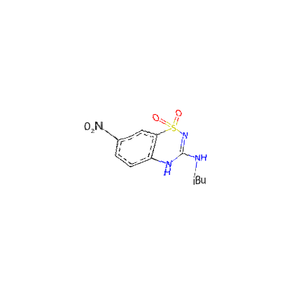 CCC(C)NC1=NS(=O)(=O)c2cc([N+](=O)[O-])ccc2N1